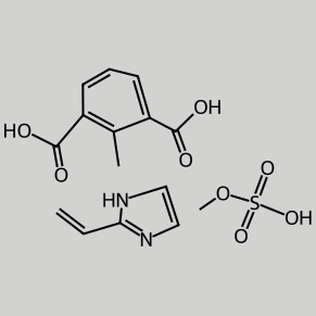 C=Cc1ncc[nH]1.COS(=O)(=O)O.Cc1c(C(=O)O)cccc1C(=O)O